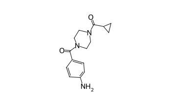 Nc1ccc(C(=O)N2CCN(C(=O)C3CC3)CC2)cc1